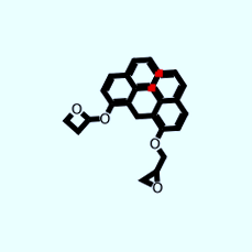 c1ccc2c(Cc3c(OC4CCO4)ccc4ccccc34)c(OCC3CO3)ccc2c1